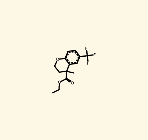 CCOC(=O)C1(C)CCOc2ccc(C(F)(F)F)cc21